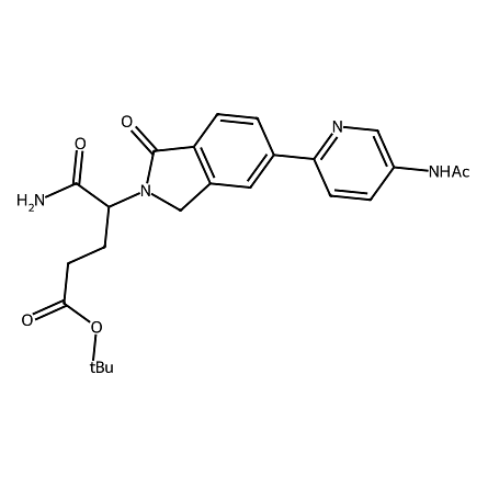 CC(=O)Nc1ccc(-c2ccc3c(c2)CN(C(CCC(=O)OC(C)(C)C)C(N)=O)C3=O)nc1